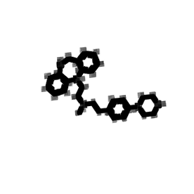 CN(CCc1ccc(N2CCOCC2)cc1)CCN1c2ccccc2COc2ccccc21